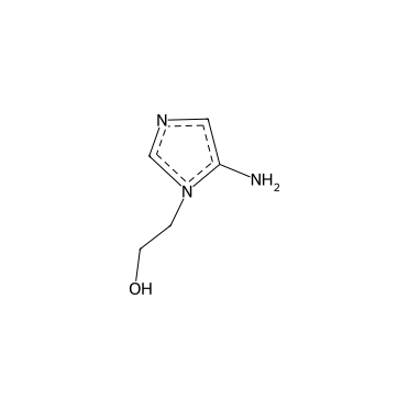 Nc1cncn1CCO